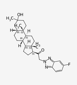 CC1(O)CC[C@@]2(C)[C@H](CC[C@@H]3[C@@H]2CC[C@]2(C)[C@@H](C(=O)Cn4nc5ccc(F)cc5n4)CC[C@@H]32)C1